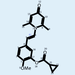 COc1ccc(/C=C/n2c(C)cc(=O)cc2C)cc1OC(=O)C1CC1